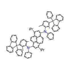 Cc1ccc(C2(c3ccccc3)c3ccccc3-c3ccccc32)c(C)c1N(c1ccccc1)c1cc(C(C)C)c2ccc3c(N(c4ccccc4)c4c(C)ccc(C5(c6ccccc6)c6ccccc6-c6ccccc65)c4C)cc(C(C)C)c4ccc1c2c43